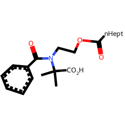 CCCCCCCC(=O)OCCN(C(=O)c1ccccc1)C(C)(C)C(=O)O